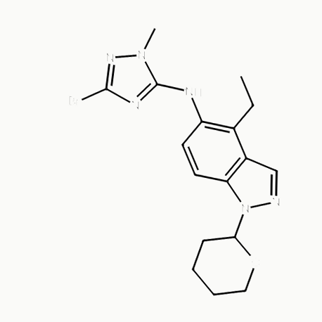 CCc1c(Nc2nc(Br)nn2C)ccc2c1cnn2C1CCCCO1